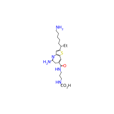 CCC(CCCCCN)c1cc2c(s1)C=C(C(=O)NCCCNC(=O)O)CC(N)=N2